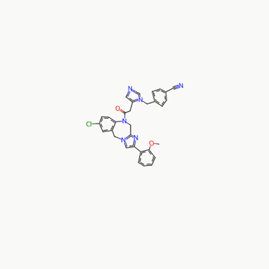 COc1ccccc1-c1cn2c(n1)CN(C(=O)Cc1cncn1Cc1ccc(C#N)cc1)c1ccc(Cl)cc1C2